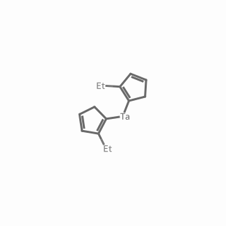 CCC1=[C]([Ta][C]2=C(CC)C=CC2)CC=C1